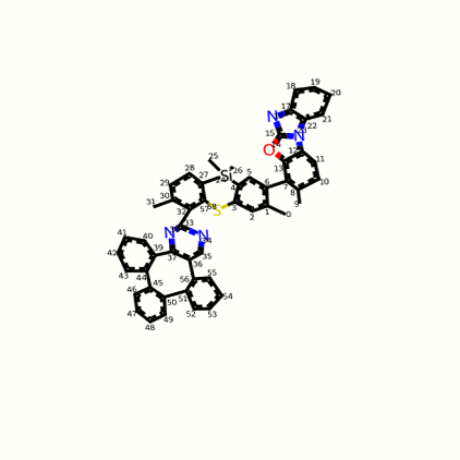 Cc1cc2c(cc1-c1c(C)ccc3c1oc1nc4ccccc4n13)[Si](C)(C)c1ccc(C)c(-c3ncc4c(n3)-c3ccccc3-c3ccccc3-c3ccccc3-4)c1S2